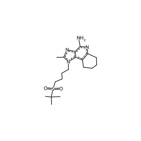 Cc1nc2c(N)nc3c(c2n1CCCCS(=O)(=O)C(C)(C)C)CCCC3